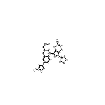 COCC1Cc2cc(-c3cnn(C)c3)ccc2N(c2nn([C@H]3CCOC3)c3c2CN(C(C)=O)CC3)C1